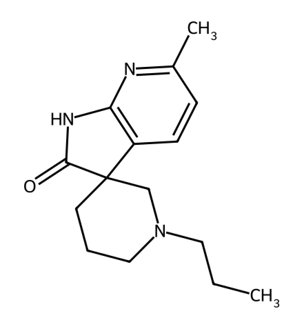 CCCN1CCCC2(C1)C(=O)Nc1nc(C)ccc12